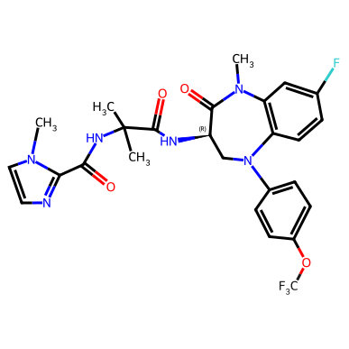 CN1C(=O)[C@H](NC(=O)C(C)(C)NC(=O)c2nccn2C)CN(c2ccc(OC(F)(F)F)cc2)c2ccc(F)cc21